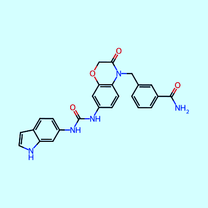 NC(=O)c1cccc(CN2C(=O)COc3cc(NC(=O)Nc4ccc5cc[nH]c5c4)ccc32)c1